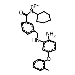 CCCN(C(=O)c1cccc(CNc2cc(Oc3ccccc3C)ccc2N)c1)C1CCCCC1